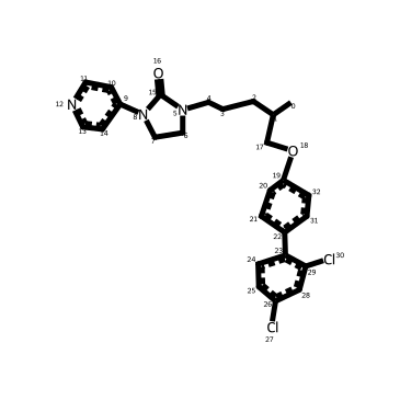 CC(CCCN1CCN(c2ccncc2)C1=O)COc1ccc(-c2ccc(Cl)cc2Cl)cc1